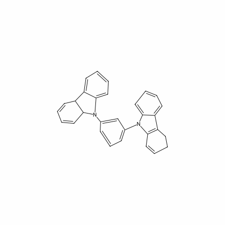 C1=CC2c3ccccc3N(c3cccc(-n4c5c(c6ccccc64)CCC=C5)c3)C2C=C1